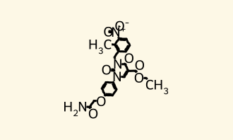 CCOC(=O)c1cn(-c2ccc(OCC(N)=O)cc2)c(=O)n(Cc2cccc([N+](=O)[O-])c2C)c1=O